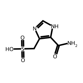 NC(=O)c1[nH]cnc1CS(=O)(=O)O